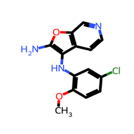 COc1ccc(Cl)cc1Nc1c(N)oc2cnccc12